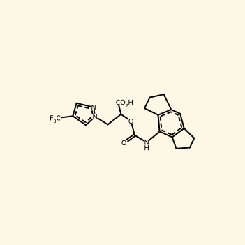 O=C(Nc1c2c(cc3c1CCC3)CCC2)OC(Cn1cc(C(F)(F)F)cn1)C(=O)O